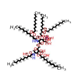 CCCCCCCCCCCC(=O)O[C@H](CCCCCCCCC)CC(=O)NC1C(OC(=O)C[C@@H](CCCCCCCCC)OC(=O)CCCCCCCCCCC)[C@H](OP(=O)(O)O)C(CO)O[C@H]1OCC1OCC(NC(=O)C[C@H](O)CCCCCCCCC)C(OC(=O)C[C@H](O)CCCCCCCCC)[C@@H]1O